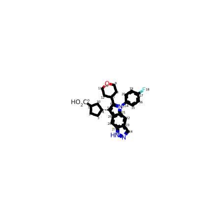 O=C(O)C1CC[C@@H](c2c(C3CCOCC3)n(-c3ccc(F)cc3)c3cc4cn[nH]c4cc23)C1